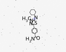 Cn1nc(-c2ccc(C(N)=O)cc2)s/c1=N/C1CCCCC1